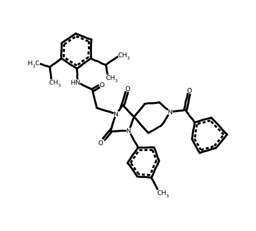 Cc1ccc(N2C(=O)N(CC(=O)Nc3c(C(C)C)cccc3C(C)C)C(=O)C23CCN(C(=O)c2ccccc2)CC3)cc1